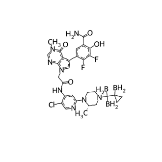 BC1(C(B)(B)N2CCN(c3cc(NC(=O)Cn4cc(-c5cc(C(N)=O)c(O)c(F)c5F)c5c(=O)n(C)cnc54)c(Cl)cn3)[C@@H](C)C2)CC1